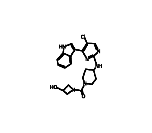 O=C(N1CCC(Nc2ncc(Cl)c(-c3c[nH]c4ccccc34)n2)CC1)N1CC(O)C1